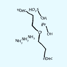 CC(C)O.CCCCCCCCCCCCOCCCCCCCCCCCC.N.N.N.O=S(=O)(O)O